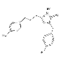 CCCn1c(CCCc2ccc(O)cc2)cn(Cc2ccc(C(C)C)cc2)c1=O